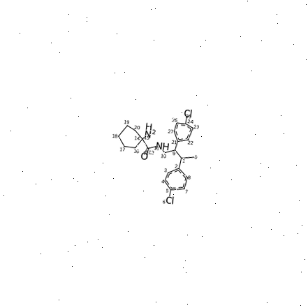 CC(c1ccc(Cl)cc1)C(CNC(=O)C1(N)CCCCC1)c1ccc(Cl)cc1